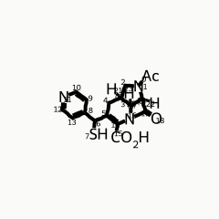 CC(=O)N1C[C@H]2CC(C(S)c3ccncc3)=C(C(=O)O)N3C(=O)[C@@H]1[C@@H]23